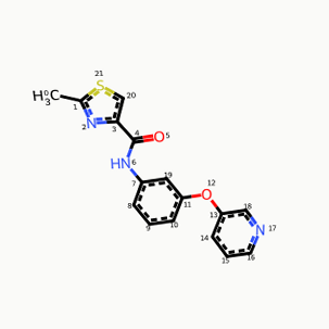 Cc1nc(C(=O)Nc2cccc(Oc3cccnc3)c2)cs1